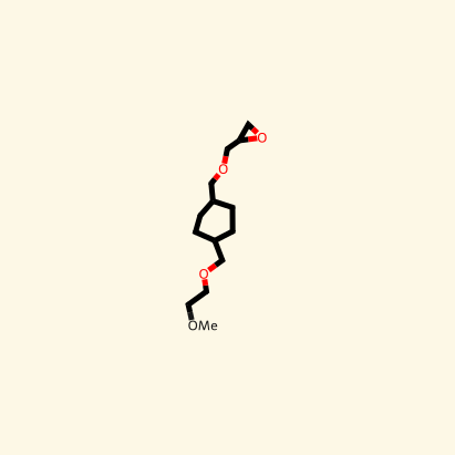 COCCOCC1CCC(COCC2CO2)CC1